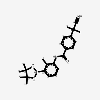 Cc1c(NC(=O)c2ccc(C(C)(C)C#N)cc2)cccc1B1OC(C)(C)C(C)(C)O1